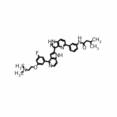 CC(C)CC(=O)Nc1cccc(-c2ccc3[nH]nc(-c4cc5c(-c6cc(F)cc(OCCN(C)C)c6)nccc5[nH]4)c3n2)c1